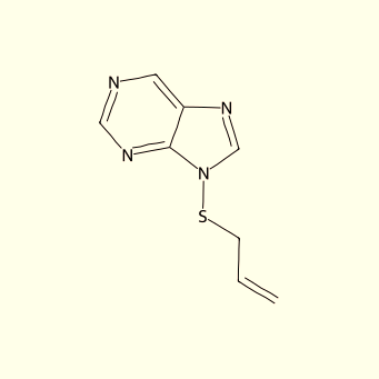 C=CCSn1cnc2cncnc21